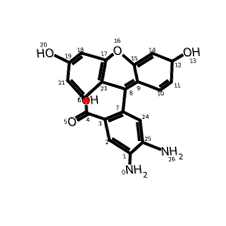 Nc1cc(C(=O)O)c(C2=C3C=CC(O)C=C3Oc3cc(O)ccc32)cc1N